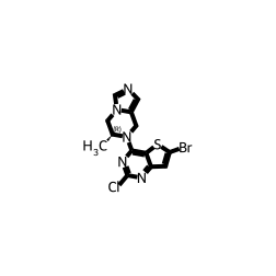 C[C@@H]1Cn2cncc2CN1c1nc(Cl)nc2cc(Br)sc12